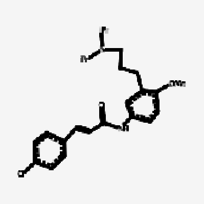 COc1ccc(NC(=O)C=Cc2ccc(Cl)cc2)cc1CCCN(C(C)C)C(C)C